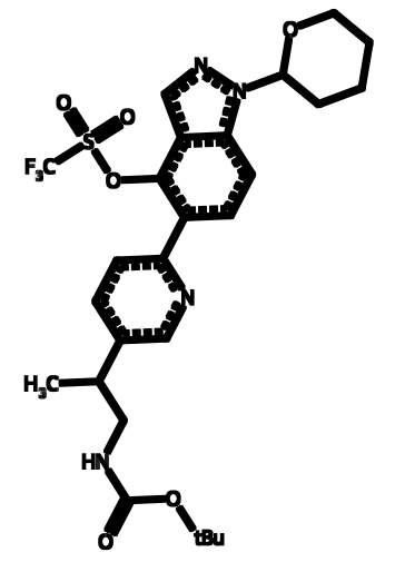 CC(CNC(=O)OC(C)(C)C)c1ccc(-c2ccc3c(cnn3C3CCCCO3)c2OS(=O)(=O)C(F)(F)F)nc1